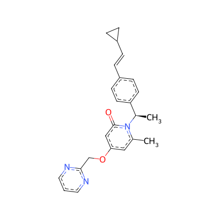 Cc1cc(OCc2ncccn2)cc(=O)n1[C@H](C)c1ccc(/C=C/C2CC2)cc1